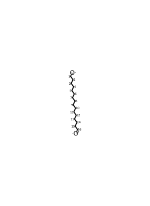 [O]CCCCCCCCCCCCCCCC[O]